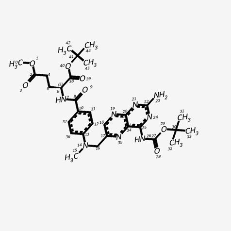 COC(=O)CC[C@H](NC(=O)c1ccc(N(C)Cc2cnc3nc(N)nc(NC(=O)OC(C)(C)C)c3n2)cc1)C(=O)OC(C)(C)C